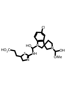 COC(O)N1CCC2(C1)CN(C(O)NC1=NCC(CCC(=O)O)S1)c1ccc(Cl)cc12